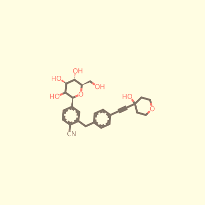 N#Cc1ccc([C@@H]2O[C@H](CO)[C@@H](O)[C@H](O)C2O)cc1Cc1ccc(C#CC2(O)CCOCC2)cc1